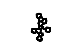 c1ccc(-n2c3c4cccc5c4c(cc3c3c4ccccc4c4c6ccccc6sc4c32)-c2ccccc2-5)cc1